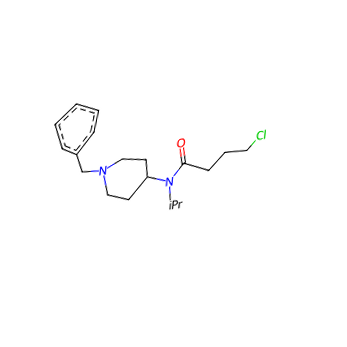 CC(C)N(C(=O)CCCCl)C1CCN(Cc2ccccc2)CC1